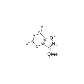 COc1noc2c1CN(C)CC2C